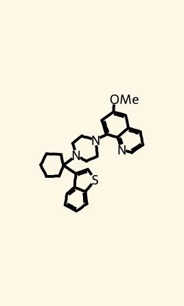 COc1cc(N2CCN(C3(c4csc5ccccc45)CCCCC3)CC2)c2ncccc2c1